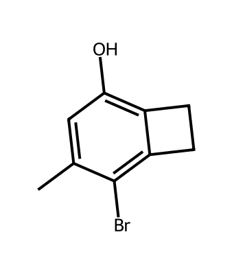 Cc1cc(O)c2c(c1Br)CC2